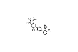 COc1cccc(-c2ccc(-c3cc4c(cc3O)NC(=O)C4=C(C)C)cc2)c1N